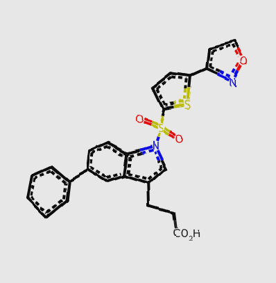 O=C(O)CCc1cn(S(=O)(=O)c2ccc(-c3ccon3)s2)c2ccc(-c3ccccc3)cc12